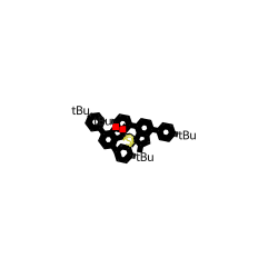 CC1=Cc2c(-c3ccc(C(C)(C)C)cc3)ccc3c2C1S(C)(C)(C)(C1C(C)=Cc2c(-c4ccc(C(C)(C)C)cc4)ccc(-c4ccc(C(C)(C)C)cc4)c21)C1CC3=CC=C1C(C)(C)C